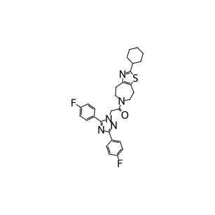 O=C(Cn1nc(-c2ccc(F)cc2)nc1-c1ccc(F)cc1)N1CCc2nc(C3CCCCC3)sc2CC1